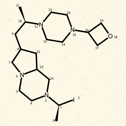 C[C@H](I)N1CCN2CC(C[C@@H](C)N3CCN(C4COC4)CC3)CC2C1